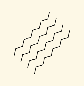 CCCCCCCCCC.CCCCCCCCCC.CCCCCCCCCC.CCCCCCCCCC